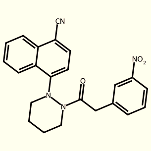 N#Cc1ccc(N2CCCCN2C(=O)Cc2cccc([N+](=O)[O-])c2)c2ccccc12